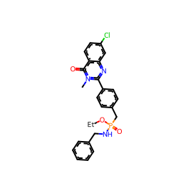 CCOP(=O)(Cc1ccc(-c2nc3cc(Cl)ccc3c(=O)n2C)cc1)NCc1ccccc1